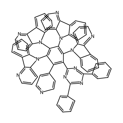 c1ccc(-c2nc(-c3ccccc3)nc(-c3c(-c4ccncc4)c(-n4c5ccccc5c5ncccc54)c(-n4c5ccccc5c5ncccc54)c(-n4c5ccccc5c5ncccc54)c3-n3c4ccccc4c4ncccc43)n2)cc1